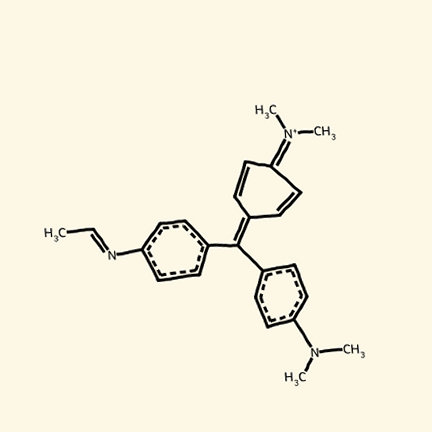 C/C=N/c1ccc(C(=C2C=CC(=[N+](C)C)C=C2)c2ccc(N(C)C)cc2)cc1